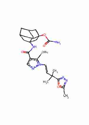 Cc1nnc(C(C)(C)/C=C/n2ncc(C(=O)N[C@]34CC5CC(C3)C[C@](OC(N)=O)(C5)C4)c2OCC(C)C)o1